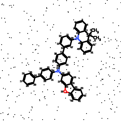 C[Si]1(C)c2ccccc2N(c2cccc(-c3ccc(N(c4ccc(-c5ccccc5)cc4)c4ccc5c(c4)oc4ccccc45)cc3)c2)c2ccccc21